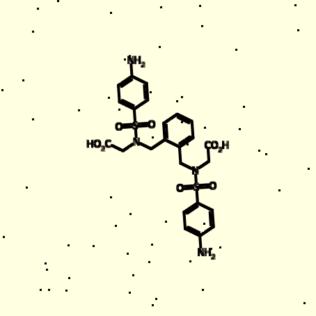 Nc1ccc(S(=O)(=O)N(CC(=O)O)Cc2ccccc2CN(CC(=O)O)S(=O)(=O)c2ccc(N)cc2)cc1